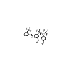 O=Cc1ccc(OC(F)(F)F)cc1.O=Cc1cccc(C(F)(F)F)c1.O=Cc1ccccc1C(F)(F)F